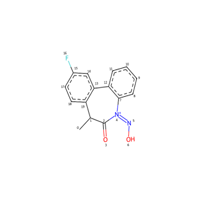 CC1C(=O)[N+](=NO)c2ccccc2-c2cc(F)ccc21